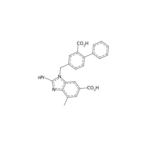 CCCc1nc2c(C)cc(C(=O)O)cc2n1Cc1ccc(-c2ccccc2)c(C(=O)O)c1